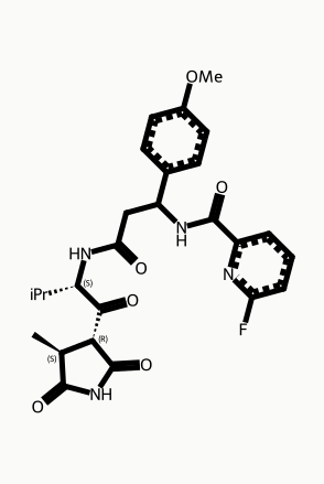 COc1ccc(C(CC(=O)N[C@H](C(=O)[C@@H]2C(=O)NC(=O)[C@H]2C)C(C)C)NC(=O)c2cccc(F)n2)cc1